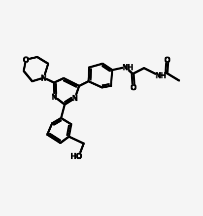 CC(=O)NCC(=O)Nc1ccc(-c2cc(N3CCOCC3)nc(-c3cccc(CO)c3)n2)cc1